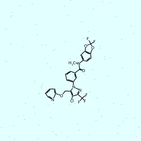 CN(C(=O)c1cccc(-n2nc(C(F)(F)F)c(Cl)c2COc2ccccn2)c1)c1ccc2c(c1)OC(F)(F)O2